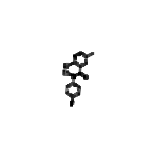 CCN(C(=O)c1cc(C)ccc1Cl)c1ccc(F)cc1